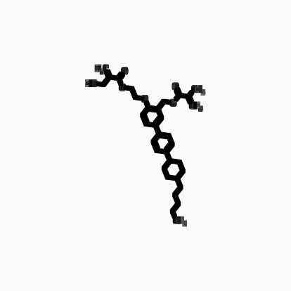 C=C(C)C(=O)OCc1cc(-c2ccc(C3CCC(CCCCC)CC3)cc2)ccc1OCCOC(=O)C(=C)CO